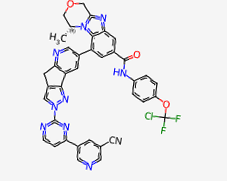 C[C@@H]1COCc2nc3cc(C(=O)Nc4ccc(OC(F)(F)Cl)cc4)cc(-c4cnc5c(c4)-c4nn(-c6nccc(-c7cncc(C#N)c7)n6)cc4C5)c3n21